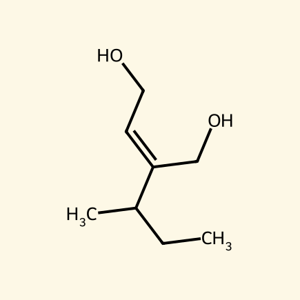 CCC(C)C(=CCO)CO